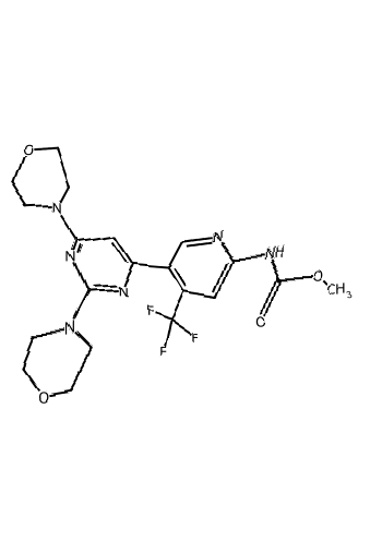 COC(=O)Nc1cc(C(F)(F)F)c(-c2cc(N3CCOCC3)nc(N3CCOCC3)n2)cn1